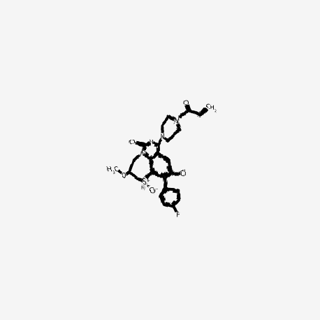 C=CC(=O)N1CCN(c2nc(=O)n3c4c(c(-c5ccc(F)cc5)c(Cl)cc24)[S@@+]([O-])CC(OC)C3)CC1